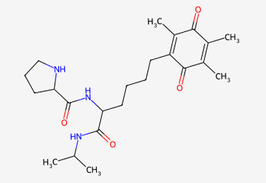 CC1=C(C)C(=O)C(CCCCC(NC(=O)C2CCCN2)C(=O)NC(C)C)=C(C)C1=O